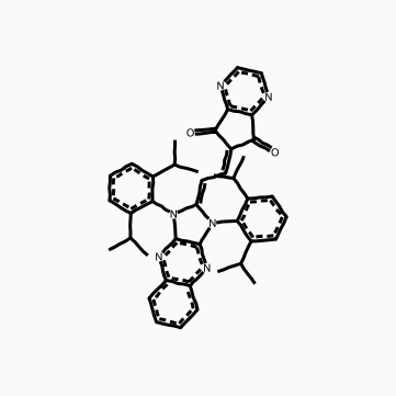 CC(C)c1cccc(C(C)C)c1N1C(=CC=C2C(=O)c3nccnc3C2=O)N(c2c(C(C)C)cccc2C(C)C)c2nc3ccccc3nc21